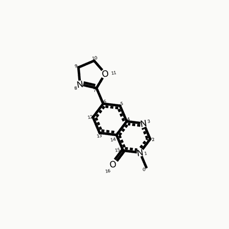 Cn1cnc2cc(C3=NCCO3)ccc2c1=O